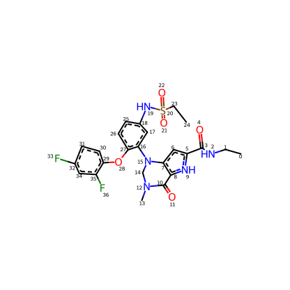 CCNC(=O)c1cc2c([nH]1)C(=O)N(C)CN2c1cc(NS(=O)(=O)CC)ccc1Oc1ccc(F)cc1F